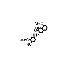 COc1cc(NCc2cc3cccc(OC)c3[nH]c2=O)ccc1C#N